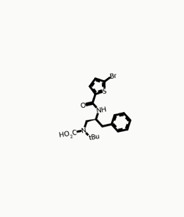 CC(C)(C)N(C[C@H](Cc1ccccc1)NC(=O)c1ccc(Br)s1)C(=O)O